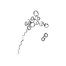 CCCCCCCCCCCCCOC(=O)OC(C)OC(C(=O)OC1CC2CCC(C1)[N+]21CCCC1)(c1ccccc1)c1ccccc1.O=C[O-]